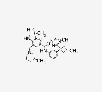 C[C@H]1CCCN(Cc2cc(C(=O)Nc3cccc([C@]4(c5nncn5C)C[C@@H](C)C4)c3)nc3c2NCC3(C)C)C1